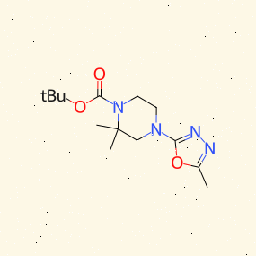 Cc1nnc(N2CCN(C(=O)OC(C)(C)C)C(C)(C)C2)o1